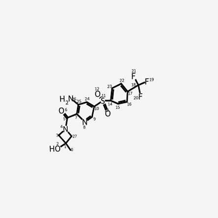 CC1(O)CN(C(=O)c2ncc(S(=O)(=O)c3ccc(C(F)(F)F)cc3)cc2N)C1